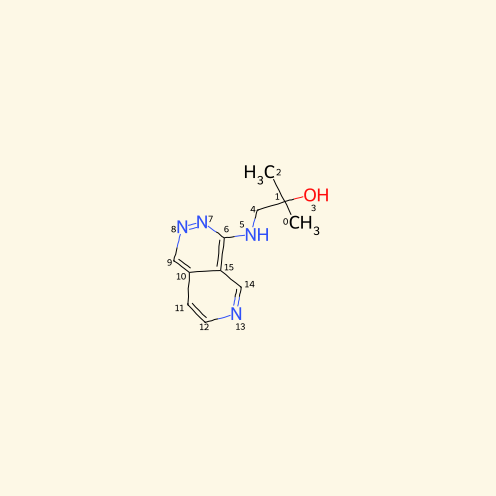 CC(C)(O)CNc1nncc2ccncc12